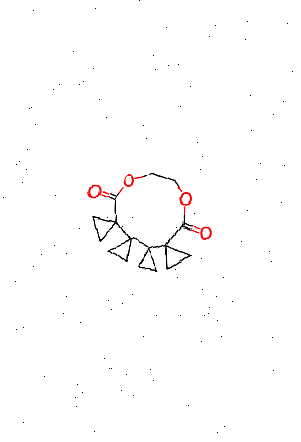 O=C1OCCOC(=O)C2(CC2)C2(CC2)C2(CC2)C12CC2